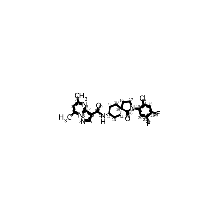 Cc1cc(C)n2ncc(C(=O)N[C@H]3CC[C@@]4(CCN(c5cc(F)c(F)cc5Cl)C4=O)CC3)c2n1